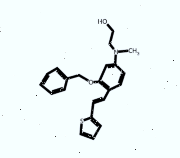 CN(CCO)c1ccc(/C=C/c2cccs2)c(OCc2ccccc2)c1